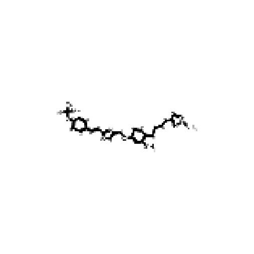 Cc1cc(OCc2coc(/C=C/c3ccc(OC(F)(F)F)cc3)n2)ccc1CCCCc1cnn(C)n1